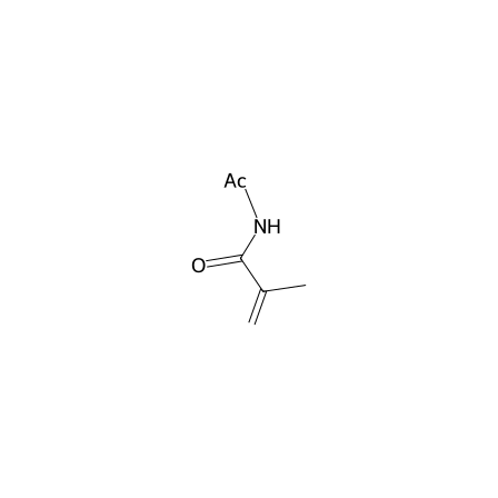 C=C(C)C(=O)NC(C)=O